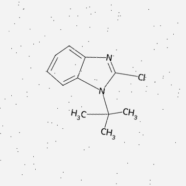 CC(C)(C)n1c(Cl)nc2ccccc21